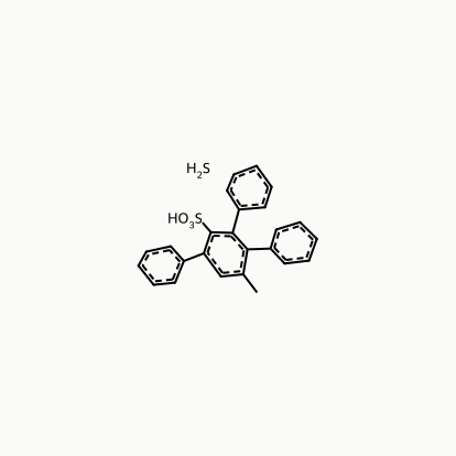 Cc1cc(-c2ccccc2)c(S(=O)(=O)O)c(-c2ccccc2)c1-c1ccccc1.S